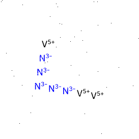 [N-3].[N-3].[N-3].[N-3].[N-3].[V+5].[V+5].[V+5]